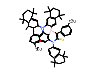 Cc1cc2c3c(c1)N(C1C=C4C(C(C)C1c1ccc(C(C)(C)C)cc1)C(C)(C)CCC4(C)C)c1cc4c(cc1B3c1c(sc3ccc(C(C)(C)C)cc13)N2c1ccc2c(c1)C(C)(C)CCC2(C)C)C(C)(C)CCC4(C)C